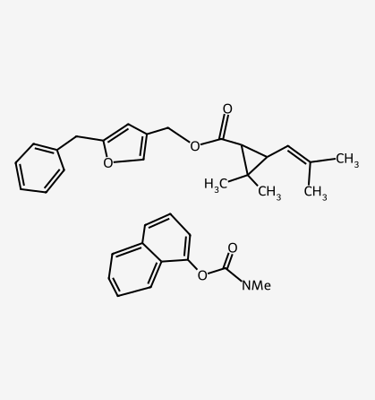 CC(C)=CC1C(C(=O)OCc2coc(Cc3ccccc3)c2)C1(C)C.CNC(=O)Oc1cccc2ccccc12